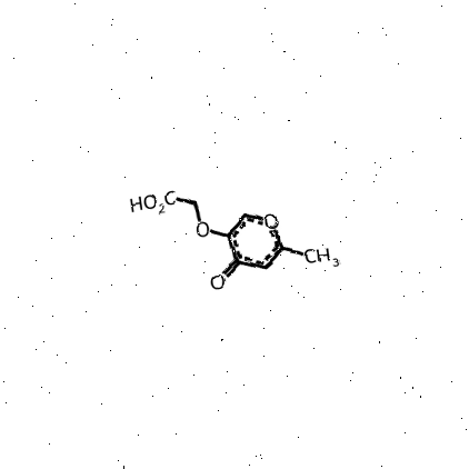 Cc1cc(=O)c(OCC(=O)O)co1